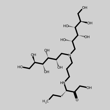 CCC[C@H](NCCCN(C[C@H](O)[C@@H](O)[C@H](O)[C@H](O)CO)C[C@H](O)[C@@H](O)[C@H](O)[C@H](O)CO)C(=O)CO